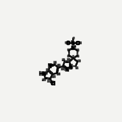 CS(=O)(=O)N1CCC2(CC1)CCn1nc(-c3cnc4[nH]cc(Cl)c4c3)cc12